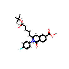 COC(=O)c1ccc2c(=O)n(-c3ccc(F)cc3)c(CCCCC(=O)OC(C)(C)C)cc2c1